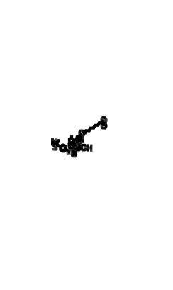 COC(CCCCCCCCOc1cc(C(C(=O)N2C[C@H](O)C[C@H]2C(=O)N[C@@H](C)c2ccc(-c3scnc3C)cc2)C(C)C)on1)OC